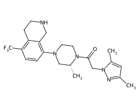 Cc1cc(C)n(CC(=O)N2CCN(c3ccc(C(F)(F)F)c4c3CNCC4)C[C@H]2C)n1